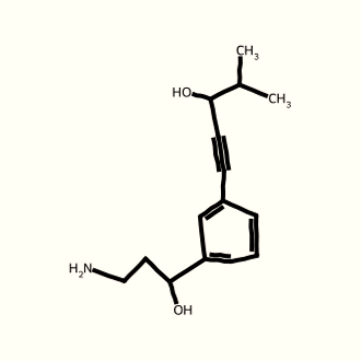 CC(C)C(O)C#Cc1cccc(C(O)CCN)c1